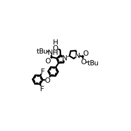 CC(C)(C)NC(=O)c1c(-c2ccc(Oc3c(F)cccc3F)cc2)cn([C@@H]2CCN(C(=O)OC(C)(C)C)C2)c1CO